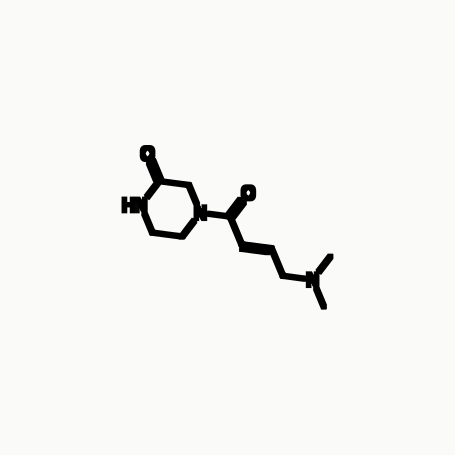 CN(C)CC=CC(=O)N1CCNC(=O)C1